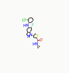 O=C(NC1CC1)c1cc(-n2ncc3cc(Nc4ccccc4Cl)c(F)cc32)cs1